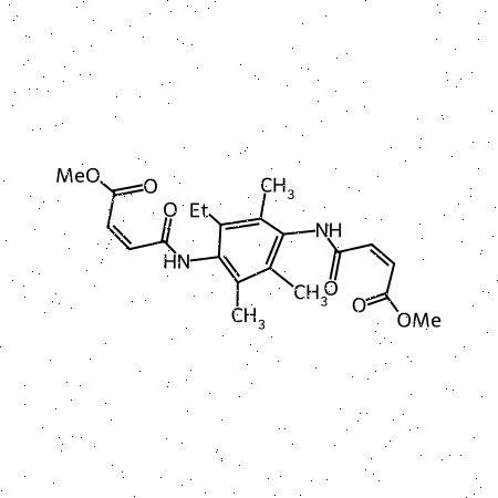 CCc1c(C)c(NC(=O)/C=C\C(=O)OC)c(C)c(C)c1NC(=O)/C=C\C(=O)OC